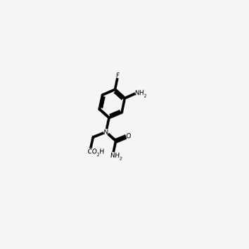 NC(=O)N(CC(=O)O)c1ccc(F)c(N)c1